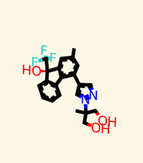 Cc1cc(-c2cnn(C(C)(CO)CO)c2)c2c(c1)[C@@](O)(C(F)(F)F)c1ccccc1-2